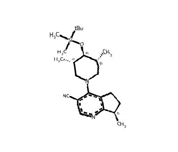 C[C@@H]1CCc2c1ncc(C#N)c2N1C[C@@H](C)[C@H](O[Si](C)(C)C(C)(C)C)[C@@H](C)C1